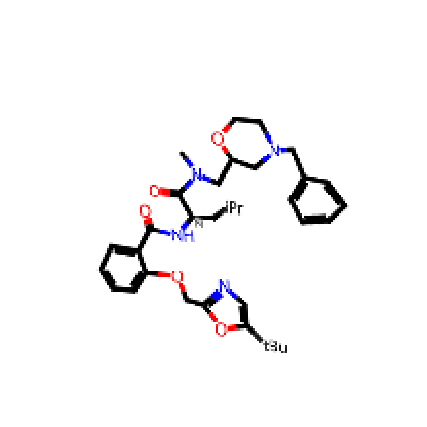 CC(C)C[C@@H](NC(=O)c1ccccc1OCc1ncc(C(C)(C)C)o1)C(=O)N(C)CC1CN(Cc2ccccc2)CCO1